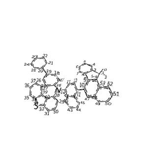 CC1(C)c2ccccc2-c2c(-c3ccc(N(c4ccc(-c5ccccc5)cc4)c4cccc5sc6ccccc6c45)c4ccccc34)cc3ccccc3c21